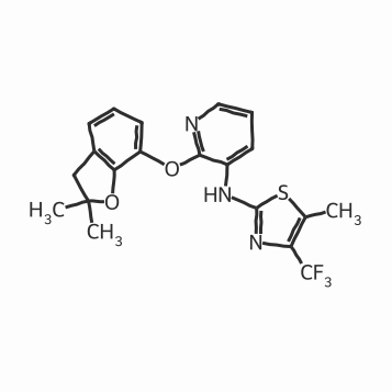 Cc1sc(Nc2cccnc2Oc2cccc3c2OC(C)(C)C3)nc1C(F)(F)F